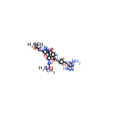 CN(C)C(=O)C1CN(c2ccc3c(c2)Oc2cc(N4CC(C(=O)N(C)C)C4)ccc2C32C(=[N+]=[N-])C(=O)c3ccc(C(=O)NCc4ccc(COc5nc(N)nc6nc[nH]c56)cc4)cc32)C1